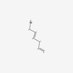 C=CC/C=C/CBr